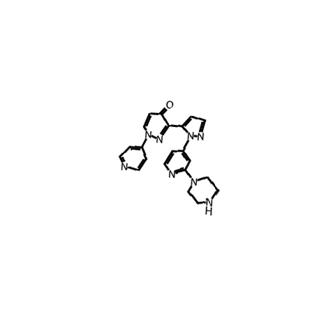 O=c1ccn(-c2ccncc2)nc1-c1ccnn1-c1ccnc(N2CCNCC2)c1